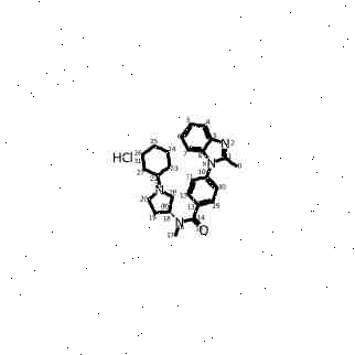 Cc1nc2ccccc2n1-c1ccc(C(=O)N(C)[C@@H]2CCN(C3CCCCC3)C2)cc1.Cl